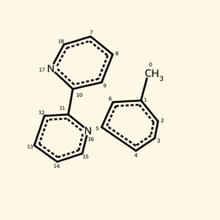 Cc1ccccc1.c1ccc(-c2ccccn2)nc1